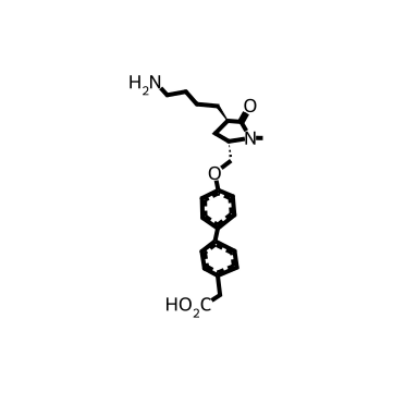 CN1C(=O)[C@H](CCCCN)C[C@H]1COc1ccc(-c2ccc(CC(=O)O)cc2)cc1